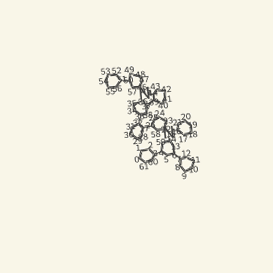 c1ccc(-c2cc(-c3ccccc3)cc(N(c3ccccc3)c3cccc(-c4ccccc4-c4ccc5c(c4)c4ccccc4n5-c4cccc(-c5ccccc5)c4)c3)c2)cc1